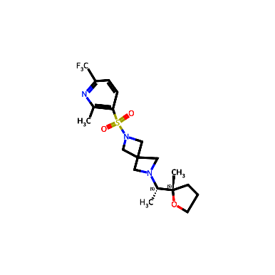 Cc1nc(C(F)(F)F)ccc1S(=O)(=O)N1CC2(CN([C@@H](C)[C@]3(C)CCCO3)C2)C1